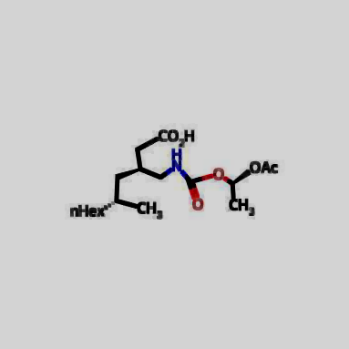 CCCCCC[C@@H](C)C[C@H](CNC(=O)O[C@H](C)OC(C)=O)CC(=O)O